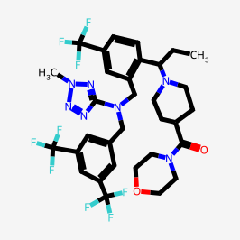 CCC(c1ccc(C(F)(F)F)cc1CN(Cc1cc(C(F)(F)F)cc(C(F)(F)F)c1)c1nnn(C)n1)N1CCC(C(=O)N2CCOCC2)CC1